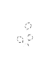 O=C(c1ccnc(Oc2ccccc2)n1)N(c1ccccc1)C(F)(F)F